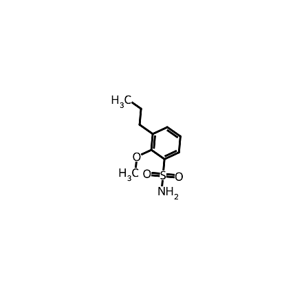 CCCc1cccc(S(N)(=O)=O)c1OC